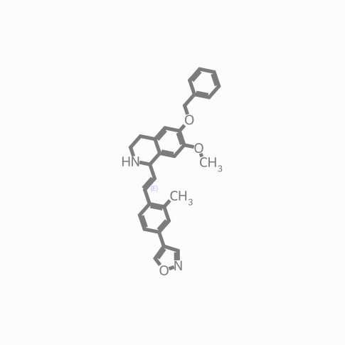 COc1cc2c(cc1OCc1ccccc1)CCNC2/C=C/c1ccc(-c2cnoc2)cc1C